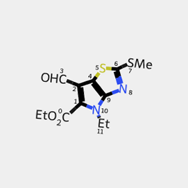 CCOC(=O)c1c(C=O)c2sc(SC)nc2n1CC